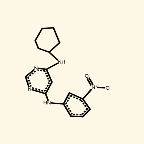 O=[N+]([O-])c1cccc(Nc2cc(NC3CCCCC3)ncn2)c1